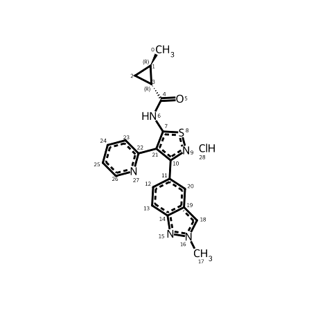 C[C@@H]1C[C@H]1C(=O)Nc1snc(-c2ccc3nn(C)cc3c2)c1-c1ccccn1.Cl